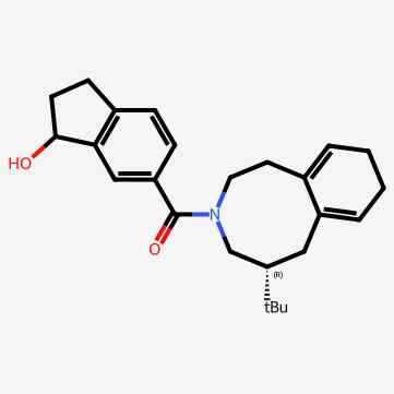 CC(C)(C)[C@H]1CC2=CCCC=C2CCN(C(=O)c2ccc3c(c2)C(O)CC3)C1